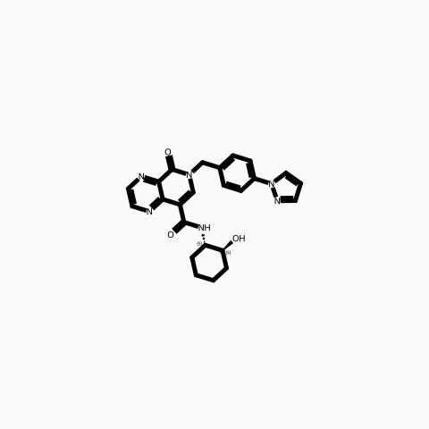 O=C(N[C@H]1CCCC[C@@H]1O)c1cn(Cc2ccc(-n3cccn3)cc2)c(=O)c2nccnc12